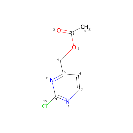 CC(=O)OCc1ccnc(Cl)n1